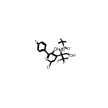 CC(C)(C)[S+]([O-])NC(CO)(c1cc(Cl)nc(-c2ccc(F)cc2)c1O)C(F)(F)F